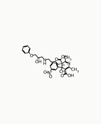 CC1=NC(C)=C(C(=O)O)C(C)(c2cccc([N+](=O)[O-])c2)[C@]1(CCCCNC[C@H](O)COc1ccccc1)C(=O)O